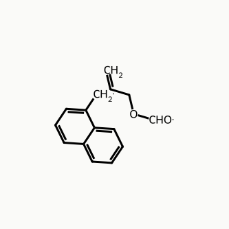 C=CCO[C]=O.[CH2]c1cccc2ccccc12